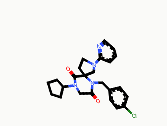 O=C1CN(C2CCCC2)C(=O)C2(CCN(c3ccccn3)C2)N1Cc1ccc(Cl)cc1